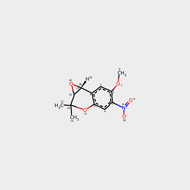 COc1cc2c(cc1[N+](=O)[O-])OC(C)(C)C1O[C@H]21